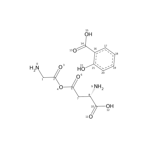 NCC(=O)OC(=O)C[C@H](N)C(=O)O.O=C(O)c1ccccc1O